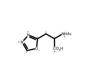 CC(=O)NC(Cc1nnco1)C(=O)O